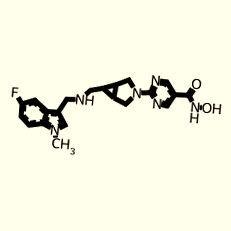 Cn1cc(CNCC2C3CN(c4ncc(C(=O)NO)cn4)CC23)c2cc(F)ccc21